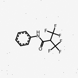 O=C(Nc1ccccc1)C(C(F)(F)F)C(F)(F)F